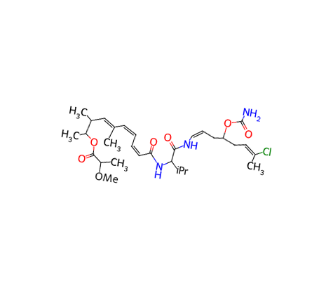 COC(C)C(=O)OC(C)C(C)/C=C(C)/C=C\C=C/C(=O)NC(C(=O)N/C=C\CC(C/C=C(\C)Cl)OC(N)=O)C(C)C